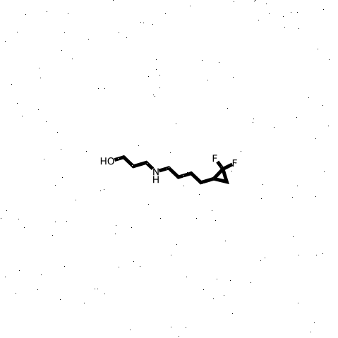 OCCCNCCCCC1CC1(F)F